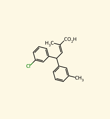 CC(=CC(c1cccc(C)c1)c1cccc(Cl)c1)C(=O)O